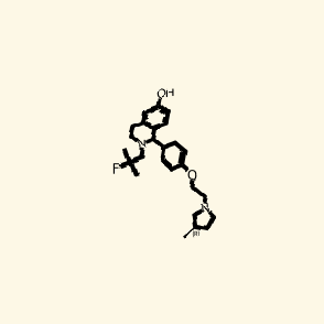 C[C@@H]1CCN(CCOC2=CCC(C3c4ccc(O)cc4CCN3CC(C)(C)F)C=C2)C1